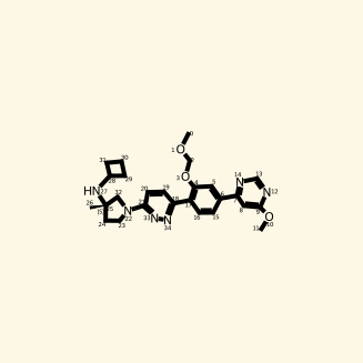 COCOc1cc(-c2cc(OC)ncn2)ccc1-c1ccc(N2CC[C@](C)(NC3CCC3)C2)nn1